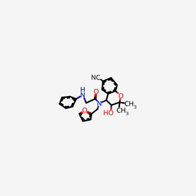 CC1(C)Oc2ccc(C#N)cc2C(N(Cc2ccco2)C(=O)CNc2ccccc2)C1O